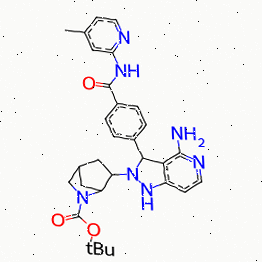 Cc1ccnc(NC(=O)c2ccc(C3c4c(ccnc4N)NN3C3CC4CC3N(C(=O)OC(C)(C)C)C4)cc2)c1